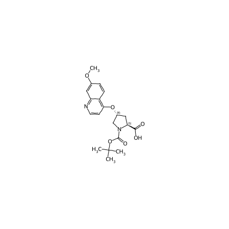 COc1ccc2c(O[C@@H]3C[C@@H](C(=O)O)N(C(=O)OC(C)(C)C)C3)ccnc2c1